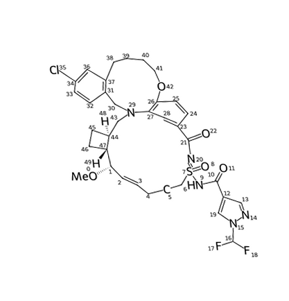 CO[C@H]1/C=C/CCCS(=O)(NC(=O)c2cnn(C(F)F)c2)=NC(=O)c2ccc3c(c2)N(Cc2ccc(Cl)cc2CCCCO3)C[C@@H]2CC[C@H]21